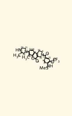 CSNc1ccc(C(=O)N2CCc3c(c(=O)oc4c(C)c(N5CCNC(C)C5)ccc34)C2)cc1OC(F)(F)F